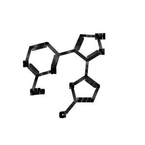 CSc1nccc(-c2c[nH]nc2-c2ccc(Cl)s2)n1